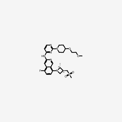 COCCOC1CCN(c2nccc(Nc3cc4c(F)ccc(N5C[C@H](CS(C)(=O)=O)[C@H]5C)c4cn3)n2)CC1